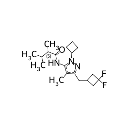 Cc1c(CC2CC(F)(F)C2)nn(C2CCC2)c1NC(=O)[C@@H](C)C(C)C